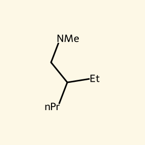 CCCC(CC)CNC